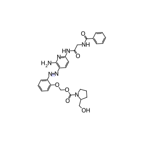 Nc1nc(NC(=O)CNC(=O)c2ccccc2)ccc1/N=N/c1ccccc1OCOC(=O)N1CCCC1CO